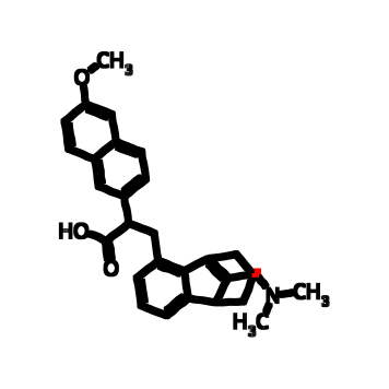 COc1ccc2cc(C(Cc3cccc4c3C3=C(CN(C)C)C4CCC3)C(=O)O)ccc2c1